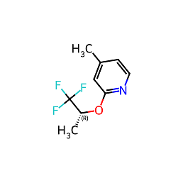 Cc1ccnc(O[C@H](C)C(F)(F)F)c1